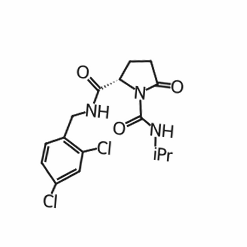 CC(C)NC(=O)N1C(=O)CC[C@H]1C(=O)NCc1ccc(Cl)cc1Cl